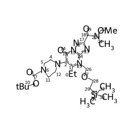 CCc1c(N2CCN(C(=O)OC(C)(C)C)CC2)c(=O)n2nc(C(=O)N(C)OC)nc2n1COCC[Si](C)(C)C